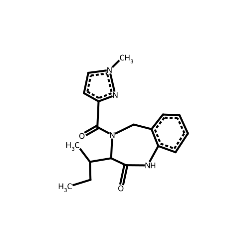 CCC(C)C1C(=O)Nc2ccccc2CN1C(=O)c1ccn(C)n1